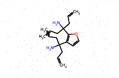 C=CCC(N)(CC=C)c1ccoc1C(N)(CC=C)CC=C